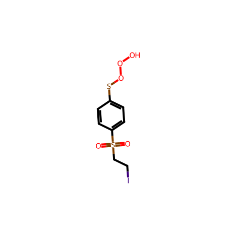 O=S(=O)(CCI)c1ccc(SOOO)cc1